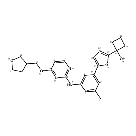 Cc1cc(Nc2nccc(OCC3CCOC3)n2)cc(-c2cnc(C3(O)CCC3)s2)c1